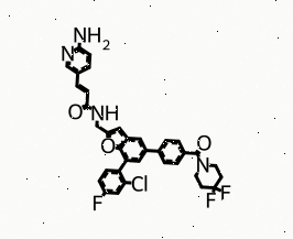 Nc1ccc(/C=C/C(=O)NCc2cc3cc(-c4ccc(C(=O)N5CCC(F)(F)CC5)cc4)cc(-c4ccc(F)cc4Cl)c3o2)cn1